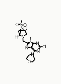 Cn1c(CN2C[C@@H]3C[C@H]2CN3S(C)(=O)=O)nc2c(N3CCOCC3)nc(Cl)nc21